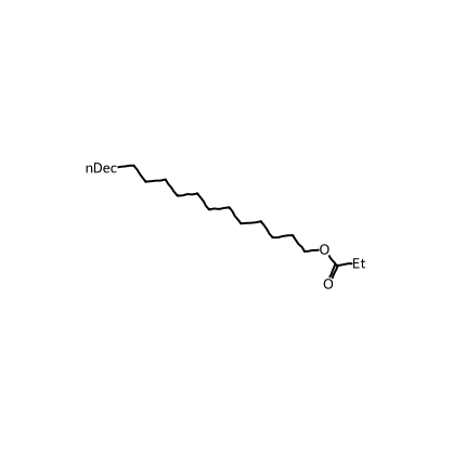 CCCCCCCCCCCCCCCCCCCCCCOC(=O)CC